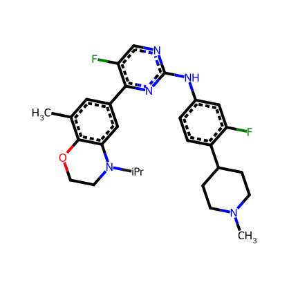 Cc1cc(-c2nc(Nc3ccc(C4CCN(C)CC4)c(F)c3)ncc2F)cc2c1OCCN2C(C)C